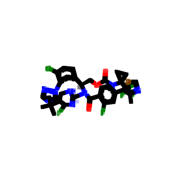 Cc1ncsc1-c1ccc(C(=O)N2/C(NCCC(C)(C)C)=N/C(F)c3ncnn3-c3cc(ccc3Cl)[C@H]2COC(=O)NC2(C(F)(F)F)CC2)c(F)c1